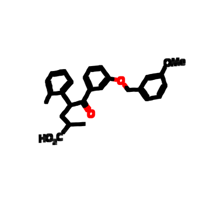 COc1cccc(COc2cccc(C(=O)C(CC(C)C(=O)O)c3ccccc3C)c2)c1